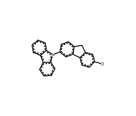 Clc1ccc2c(c1)Cc1ccc(-n3c4ccccc4c4ccccc43)cc1-2